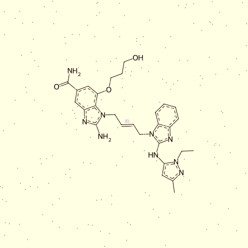 CCn1nc(C)cc1Nc1nc2ccccc2n1C/C=C/Cn1c(N)nc2cc(C(N)=O)cc(OCCCO)c21